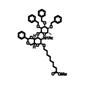 COC(=O)CCCCCCCCO[C@H]1O[C@@H]2COC(c3ccccc3)O[C@H]2[C@H](O[C@@H]2O[C@@H](C)[C@@H](OCc3ccccc3)[C@@H](OCc3ccccc3)[C@@H]2OCc2ccccc2)[C@H]1NC(C)=O